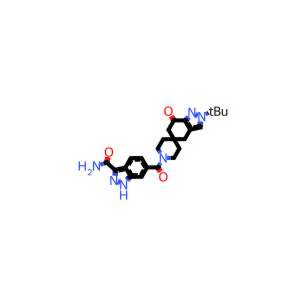 CC(C)(C)n1cc2c(n1)C(=O)CC1(CCN(C(=O)c3ccc4c(C(N)=O)n[nH]c4c3)CC1)C2